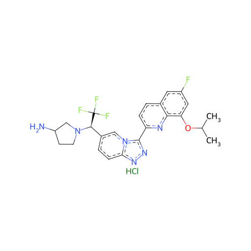 CC(C)Oc1cc(F)cc2ccc(-c3nnc4ccc([C@@H](N5CCC(N)C5)C(F)(F)F)cn34)nc12.Cl